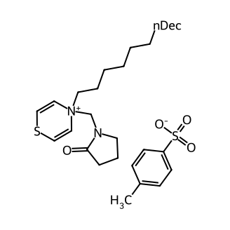 CCCCCCCCCCCCCCCC[N+]1(CN2CCCC2=O)C=CSC=C1.Cc1ccc(S(=O)(=O)[O-])cc1